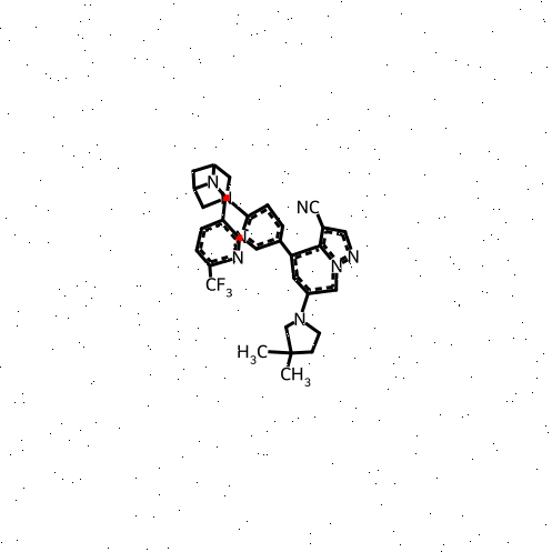 CC1(C)CCN(c2cc(-c3ccc(N4CC5CC(C4)N5Cc4ccc(C(F)(F)F)nc4)nc3)c3c(C#N)cnn3c2)C1